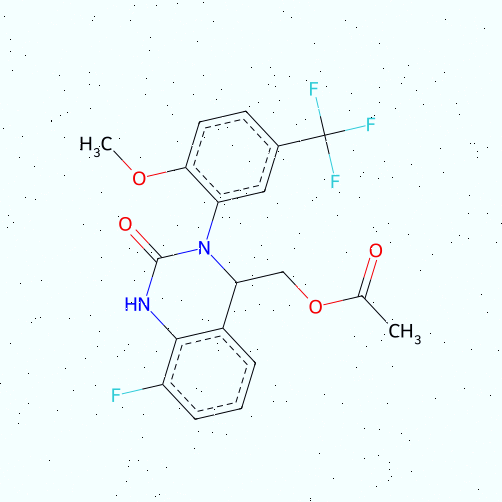 COc1ccc(C(F)(F)F)cc1N1C(=O)Nc2c(F)cccc2C1COC(C)=O